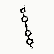 O=C1CCN(c2ccc(C#Cc3ccc(-c4ccc(Cl)cc4)cn3)cn2)C1